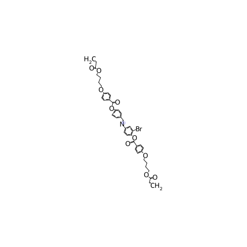 C=CC(=O)OCCCCOc1ccc(C(=O)Oc2ccc(/C=N/c3ccc(OC(=O)c4ccc(OCCCCOC(=O)C=C)cc4)c(Br)c3)cc2)cc1